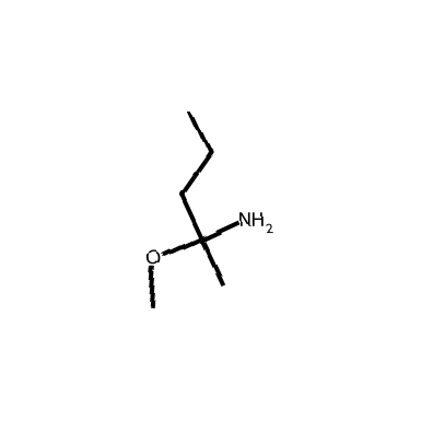 CCCC(C)(N)OC